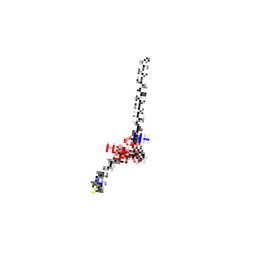 CCCCCCCCCCCCCCCCCCNC(=O)OCC1(COP(=O)(O)OCCCCCCN2C=CSC2)CCCO1